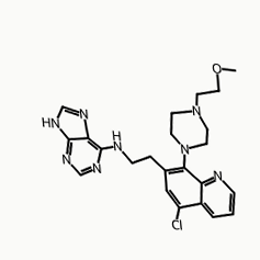 COCCN1CCN(c2c(CCNc3ncnc4[nH]cnc34)cc(Cl)c3cccnc23)CC1